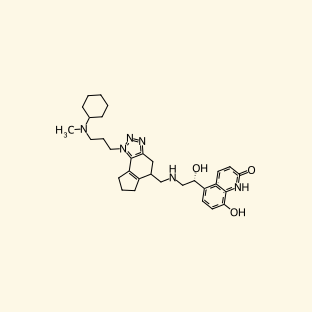 CN(CCCn1nnc2c1C1=C(CCC1)C(CNC[C@H](O)c1ccc(O)c3[nH]c(=O)ccc13)C2)C1CCCCC1